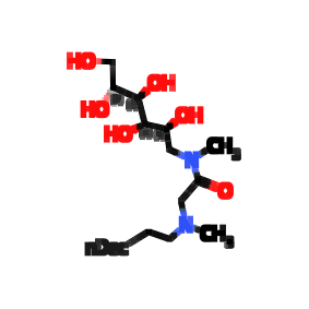 CCCCCCCCCCCCN(C)CC(=O)N(C)C[C@H](O)[C@@H](O)[C@H](O)[C@H](O)CO